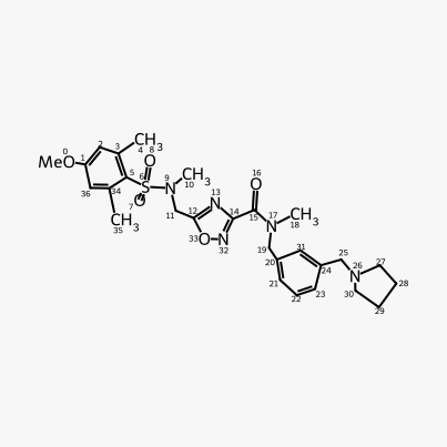 COc1cc(C)c(S(=O)(=O)N(C)Cc2nc(C(=O)N(C)Cc3cccc(CN4CCCC4)c3)no2)c(C)c1